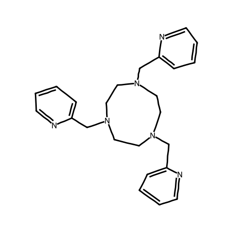 c1ccc(CN2CCN(Cc3ccccn3)CCN(Cc3ccccn3)CC2)nc1